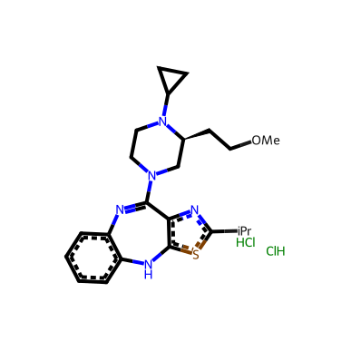 COCC[C@H]1CN(C2=Nc3ccccc3Nc3sc(C(C)C)nc32)CCN1C1CC1.Cl.Cl